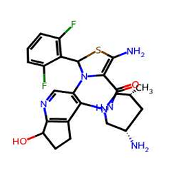 C[C@@H]1C[C@H](N)CN(c2c(N3C(C(N)=O)=C(N)SC3c3c(F)cccc3F)cnc3c2CCC3O)C1